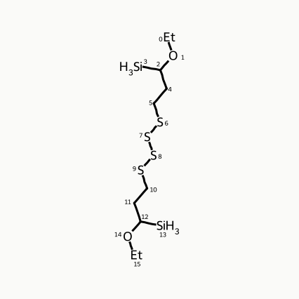 CCOC([SiH3])CCSSSSCCC([SiH3])OCC